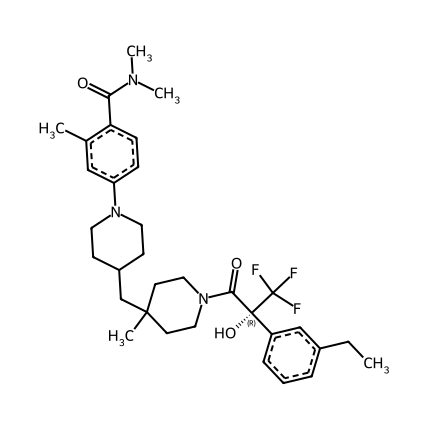 CCc1cccc([C@@](O)(C(=O)N2CCC(C)(CC3CCN(c4ccc(C(=O)N(C)C)c(C)c4)CC3)CC2)C(F)(F)F)c1